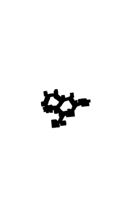 Brc1cc2cccnc2c(Br)n1